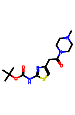 CN1CCN(C(=O)Cc2csc(NC(=O)OC(C)(C)C)n2)CC1